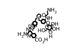 CCCCc1nc2c(N)nc3cc(C(=O)O)ccc3c2n1Cc1ccc(C[N+]2(Cc3ccc(O[C@H]4O[C@H](CO)[C@@H](O)[C@H](O)[C@@H]4O)c(NC(=O)CCN)c3)CCCC2)cc1